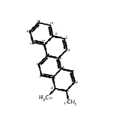 CC1C=Cc2c(ccc3c2ccc2ccccc23)C1C